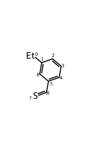 CCc1cccc([C]=S)c1